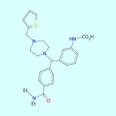 CCN(CC)C(=O)c1ccc(C(c2cccc(NC(=O)O)c2)N2CCN(Cc3cccs3)CC2)cc1